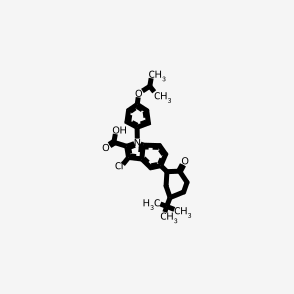 CC(C)Oc1ccc(-n2c(C(=O)O)c(Cl)c3cc(C4CC(C(C)(C)C)CCC4=O)ccc32)cc1